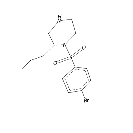 CCCC1CNCCN1S(=O)(=O)c1ccc(Br)cc1